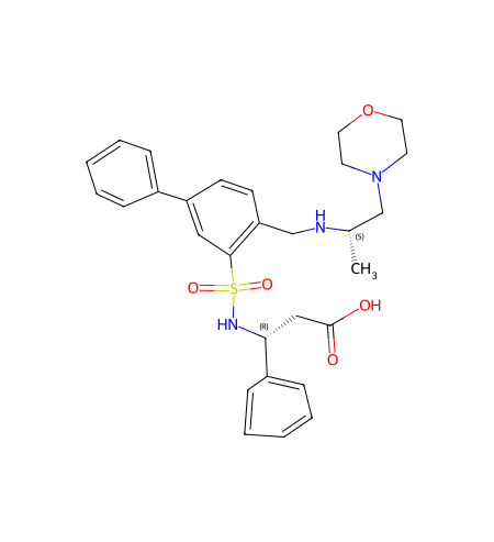 C[C@@H](CN1CCOCC1)NCc1ccc(-c2ccccc2)cc1S(=O)(=O)N[C@H](CC(=O)O)c1ccccc1